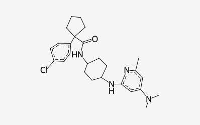 Cc1cc(N(C)C)cc(NC2CCC(NC(=O)C3(c4ccc(Cl)cc4)CCCC3)CC2)n1